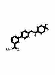 CNC(=O)c1cccc(-c2ccc(CNC3CCC(C)(C)CC3)cc2)c1